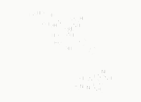 N=C(NCCCCc1ccc(-c2ccc(CCC(=O)NC(CCN(CC(O)C(O)C(O)C(O)CO)CC(O)C(O)C(O)C(O)CO)C(=O)O)cc2)cc1)NC(=O)c1nc(Cl)c(N)nc1N